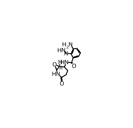 N=Nc1c(N)cccc1C(=O)NC1CCC(=O)NC2O[C@H]12